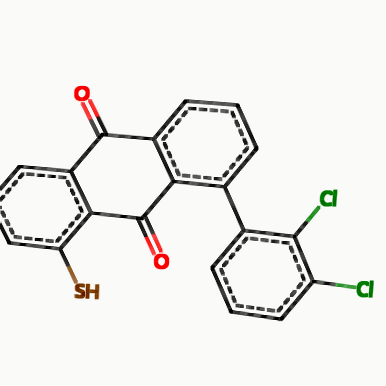 O=C1c2cccc(S)c2C(=O)c2c1cccc2-c1cccc(Cl)c1Cl